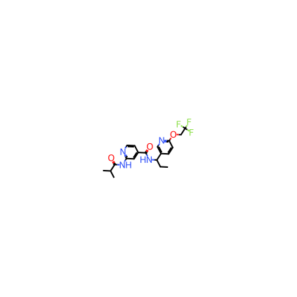 CCC(NC(=O)c1ccnc(NC(=O)C(C)C)c1)c1ccc(OCC(F)(F)F)nc1